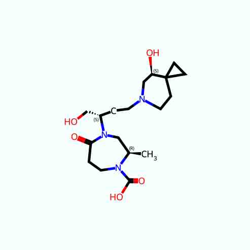 C[C@@H]1CN([C@H](CO)CCN2CCC3(CC3)[C@H](O)C2)C(=O)CCN1C(=O)O